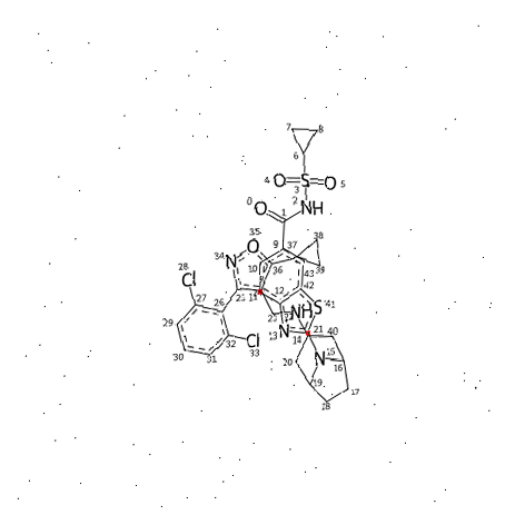 O=C(NS(=O)(=O)C1CC1)c1ccc2nc(N3C4CCC3CC(NCc3c(-c5c(Cl)cccc5Cl)noc3C3CC3)C4)sc2c1